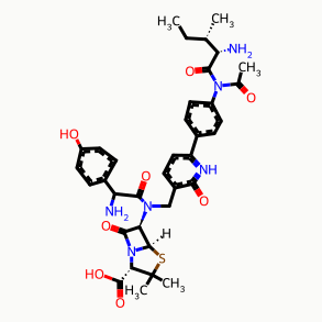 CC[C@H](C)[C@H](N)C(=O)N(C(C)=O)c1ccc(-c2ccc(CN(C(=O)C(N)c3ccc(O)cc3)[C@@H]3C(=O)N4[C@@H]3SC(C)(C)[C@@H]4C(=O)O)c(=O)[nH]2)cc1